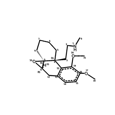 CNCC[C@]12CCCC[C@]13O[C@@H]3Cc1ccc(OC)c(OC)c12